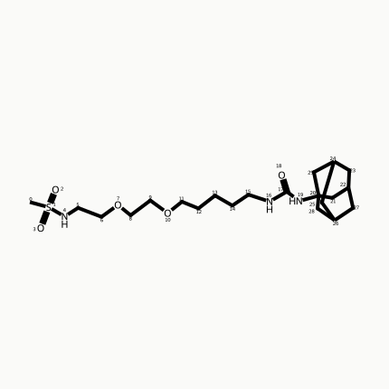 CS(=O)(=O)NCCOCCOCCCCCNC(=O)NC12CC3CC(CC(C3)C1)C2